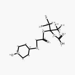 O=C(O)CC(OC(=O)COC1CC[S+]([O-])CC1)(C(F)(F)F)C(F)(F)F